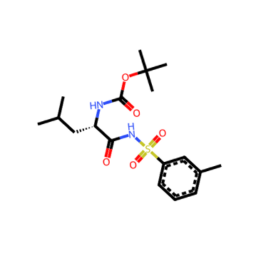 Cc1cccc(S(=O)(=O)NC(=O)[C@H](CC(C)C)NC(=O)OC(C)(C)C)c1